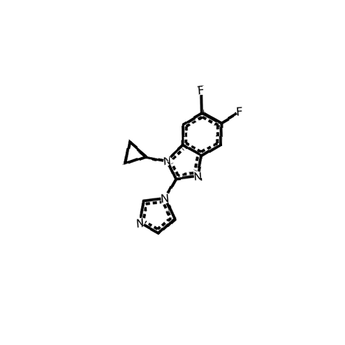 Fc1cc2nc(-n3ccnc3)n(C3CC3)c2cc1F